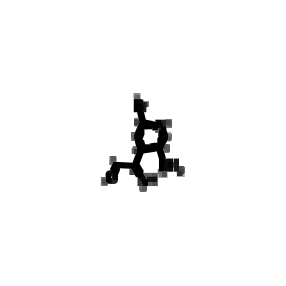 N=C(C=O)c1cc(Br)ncc1N